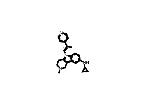 C/C(=C\n1c2c(c3cc(NC4CC4)ccc31)CN(C)CC2)c1ccncc1